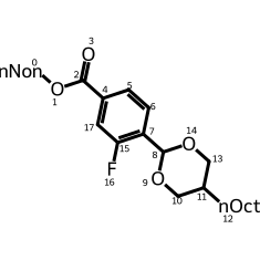 CCCCCCCCCOC(=O)c1ccc(C2OCC(CCCCCCCC)CO2)c(F)c1